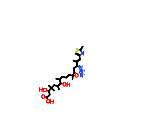 C/C(=C\c1csc(C)n1)C(CC1OC1(C)CCCC(C)C(O)C(C)CC(C)(C)C(O)CC(=O)O)N=[N+]=[N-]